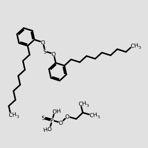 CC(C)COOP(O)(O)=S.CCCCCCCCCc1ccccc1OSOc1ccccc1CCCCCCCCC